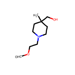 CC1(CO)CCN(CCOC=O)CC1